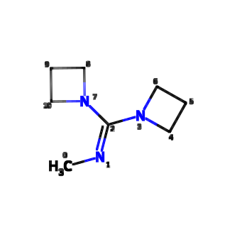 CN=C(N1CCC1)N1CCC1